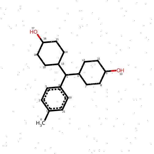 Cc1ccc(C(C2CCC(O)CC2)C2CCC(O)CC2)cc1